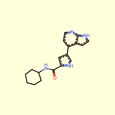 O=C(NC1CCCCC1)c1cc(-c2ccnc3[nH]ccc23)c[nH]1